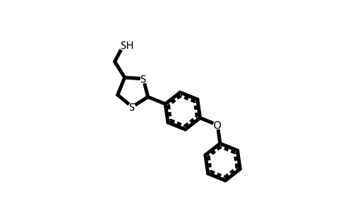 SCC1CSC(c2ccc(Oc3ccccc3)cc2)S1